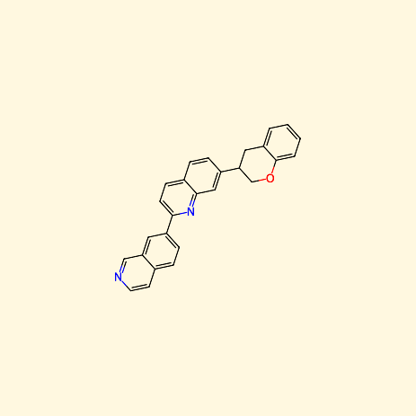 c1ccc2c(c1)CC(c1ccc3ccc(-c4ccc5ccncc5c4)nc3c1)CO2